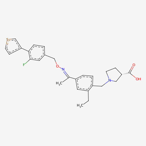 CCc1cc(/C(C)=N/OCc2ccc(-c3ccsc3)c(F)c2)ccc1CN1CC[C@H](C(=O)O)C1